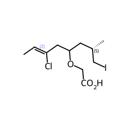 C/C=C(\Cl)CC(C[C@H](C)CI)OCC(=O)O